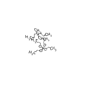 C=CC[Si](C)(C)CC=C.CCO[Si](OCC)(OCC)OCC